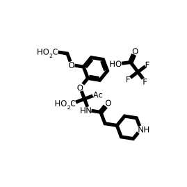 CC(=O)C(NC(=O)CC1CCNCC1)(Oc1ccccc1OCC(=O)O)C(=O)O.O=C(O)C(F)(F)F